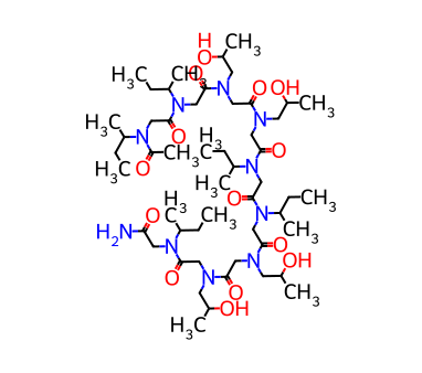 CCC(C)N(CC(=O)N(CC(=O)N(CC(=O)N(CC(=O)N(CC(=O)N(CC(=O)N(CC(=O)N(CC(=O)N(CC(N)=O)C(C)CC)CC(C)O)CC(C)O)C(C)CC)C(C)CC)CC(C)O)CC(C)O)C(C)CC)C(C)=O